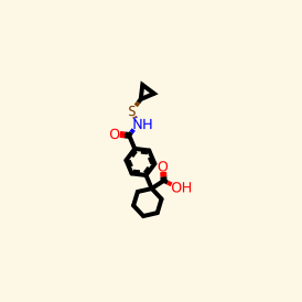 O=C(NSC1CC1)c1ccc(C2(C(=O)O)CCCCC2)cc1